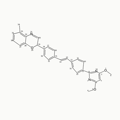 COc1cc(OC)nc(-c2ccc(/C=C/c3ccc(C4C=Nc5c(C)cccc5O4)cc3)cc2)n1